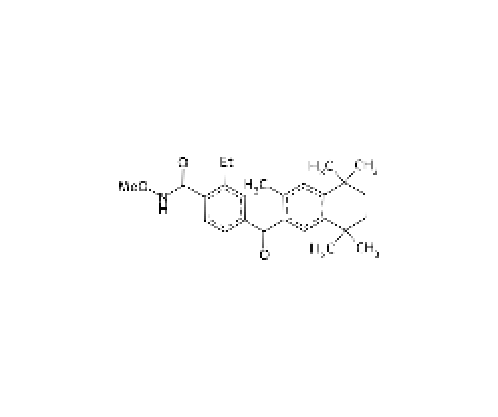 CCc1cc(C(=O)c2cc3c(cc2C)C(C)(C)CCC3(C)C)ccc1C(=O)NOC